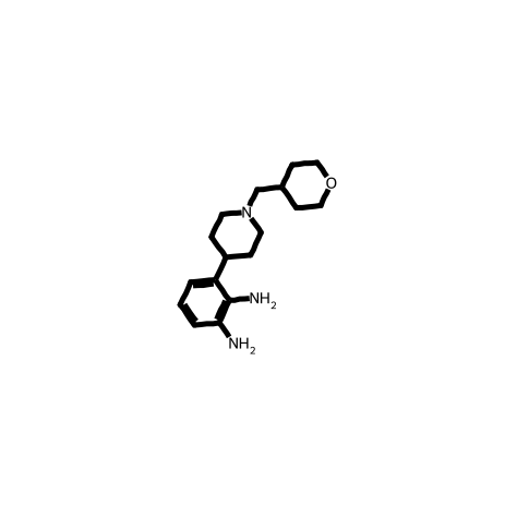 Nc1cccc(C2CCN(CC3CCOCC3)CC2)c1N